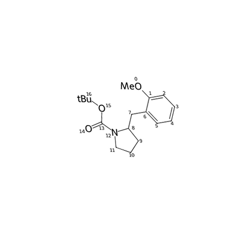 COc1ccccc1CC1CCCN1C(=O)OC(C)(C)C